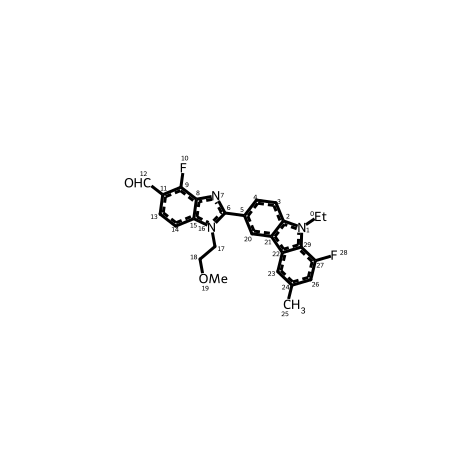 CCn1c2ccc(-c3nc4c(F)c(C=O)ccc4n3CCOC)cc2c2cc(C)cc(F)c21